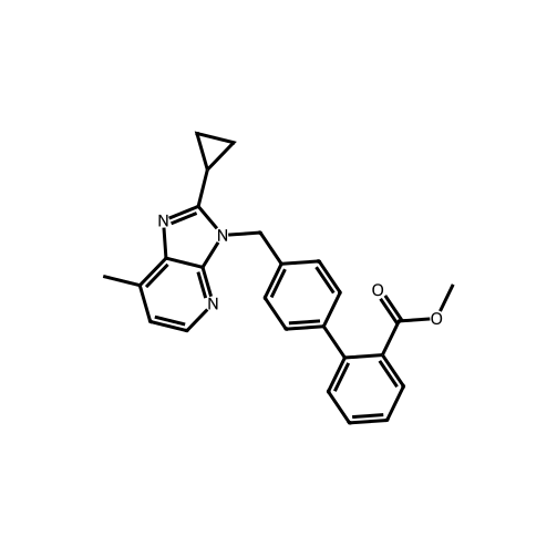 COC(=O)c1ccccc1-c1ccc(Cn2c(C3CC3)nc3c(C)ccnc32)cc1